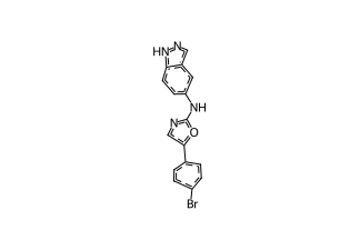 Brc1ccc(-c2cnc(Nc3ccc4[nH]ncc4c3)o2)cc1